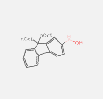 CCCCCCCCC1(CCCCCCCC)c2ccccc2-c2ccc(BO)cc21